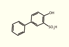 O=S(=O)(O)c1cc(-c2ccccc2)ccc1O